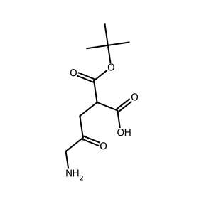 CC(C)(C)OC(=O)C(CC(=O)CN)C(=O)O